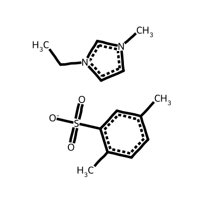 CC[n+]1ccn(C)c1.Cc1ccc(C)c(S(=O)(=O)[O-])c1